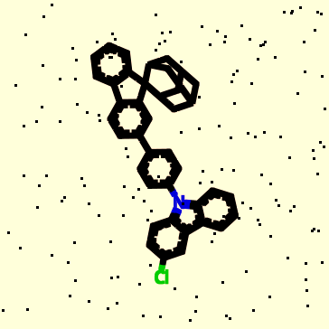 Clc1ccc2c(c1)c1ccccc1n2-c1ccc(-c2ccc3c(c2)C2(c4ccccc4-3)C3CC4CC(C3)CC2C4)cc1